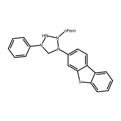 CCCCCN1NN(c2ccccc2)CN1c1ccc2c(c1)sc1ccccc12